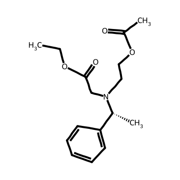 CCOC(=O)CN(CCOC(C)=O)[C@H](C)c1ccccc1